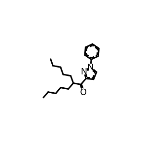 CCCCCC(CCCCC)C(=O)c1ccn(-c2ccccc2)n1